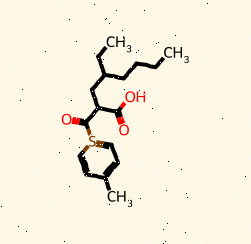 CCCCC(CC)CC(C(=O)O)C(=O)S1=CC=C(C)C=C1